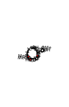 CCC[C@@H]1CC(C)C[C@H](C)C[C@H](OC)[C@H]2O[C@@](O)(C(=O)C(=O)N3CCCC[C@H]3C(=O)O[C@H](C(C)C[C@@H]3CC[C@@H](O)[C@H](OC)C3)[C@H](C)[C@@H](O)CC1O)[C@H](C)C[C@@H]2OC